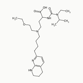 CCOCCN(CCCCc1ccc2c(n1)NCCC2)CCC(NC(=O)N(CC)C(C)C)C(=O)O